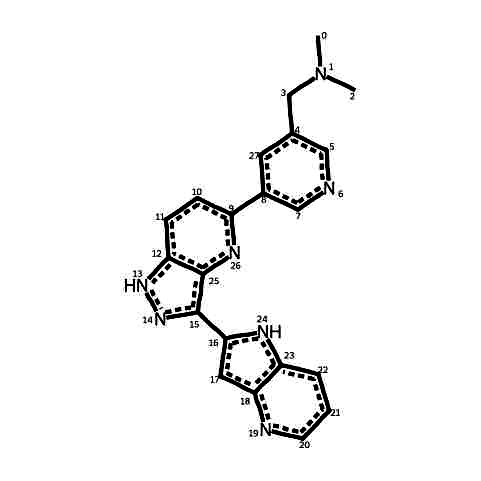 CN(C)Cc1cncc(-c2ccc3[nH]nc(-c4cc5ncccc5[nH]4)c3n2)c1